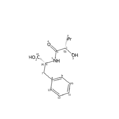 CC(C)[C@H](O)C(=O)N[C@H](Cc1ccccc1)C(=O)O